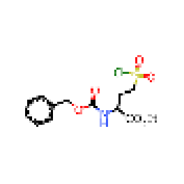 CCOC(=O)C(CCS(=O)(=O)Cl)NC(=O)OCc1ccccc1